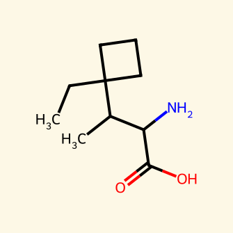 CCC1(C(C)C(N)C(=O)O)CCC1